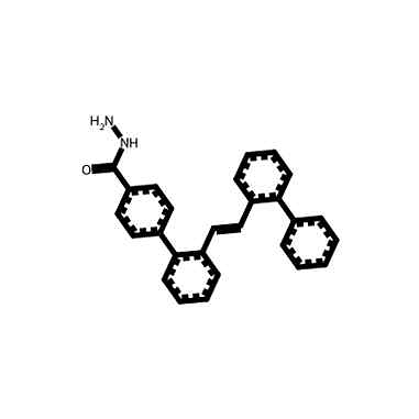 NNC(=O)c1ccc(-c2ccccc2C=Cc2ccccc2-c2ccccc2)cc1